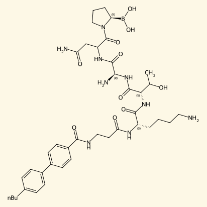 CCCCc1ccc(-c2ccc(C(=O)NCCC(=O)N[C@@H](CCCCN)C(=O)N[C@H](C(=O)N[C@@H](N)C(=O)NC(CC(N)=O)C(=O)N3CCC[C@H]3B(O)O)C(C)O)cc2)cc1